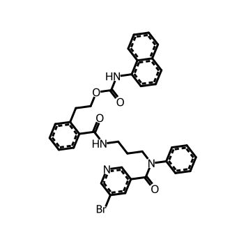 O=C(Nc1cccc2ccccc12)OCCc1ccccc1C(=O)NCCCN(C(=O)c1cncc(Br)c1)c1ccccc1